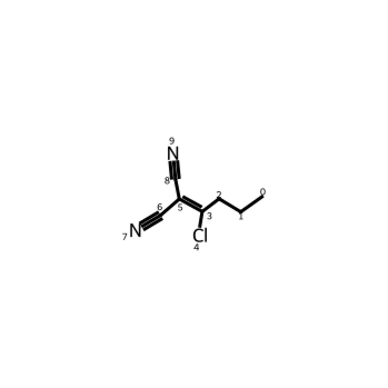 CCCC(Cl)=C(C#N)C#N